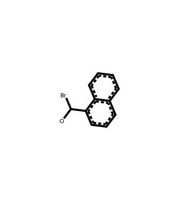 [O]C(Br)c1cccc2ccccc12